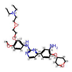 CCN(CC)CCOCCOc1cc(Nc2nccc(-c3ccc(OC4CCOCC4)c(N)c3)n2)ccc1OC